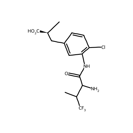 CC(C(N)C(=O)Nc1cc(C[C@H](C)C(=O)O)ccc1Cl)C(F)(F)F